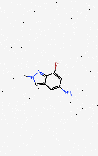 Cn1cc2cc(N)cc(Br)c2n1